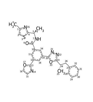 Cc1csc([C@@H](C)NC(=O)c2cc(-c3ncco3)cc(-c3nnc([C@@H](C)Cc4ccccc4)o3)c2)n1